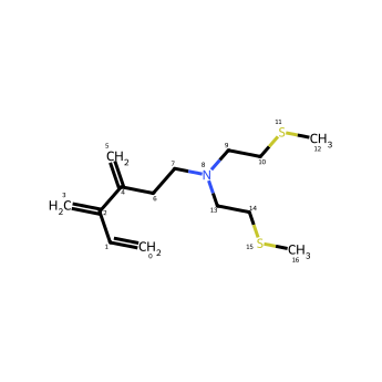 C=CC(=C)C(=C)CCN(CCSC)CCSC